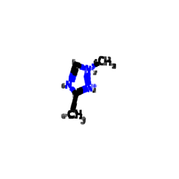 CC1=[N+]=[N+](C)C=N1